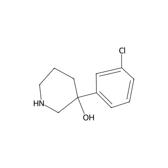 OC1(c2cccc(Cl)c2)CCCNC1